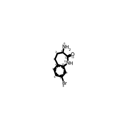 NC1CCc2ccc(Br)cc2NC1=O